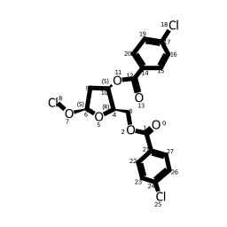 O=C(OC[C@H]1O[C@@H](OCl)C[C@@H]1OC(=O)c1ccc(Cl)cc1)c1ccc(Cl)cc1